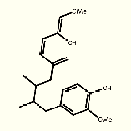 C=C(/C=C\C(O)=C\OC)CC(C)C(C)Cc1ccc(O)c(OC)c1